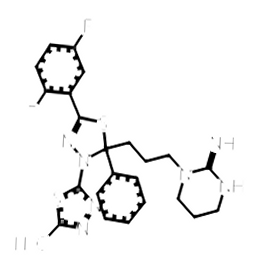 Cc1nnc(N2N=C(c3cc(F)ccc3F)SC2(CCCN2CCCNC2=N)c2ccccc2)s1